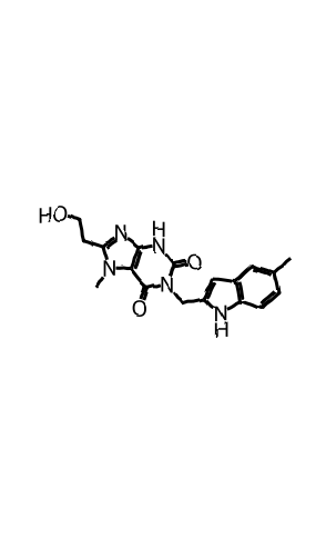 Cc1ccc2[nH]c(Cn3c(=O)[nH]c4nc(CCO)n(C)c4c3=O)cc2c1